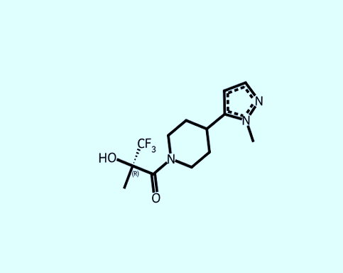 Cn1nccc1C1CCN(C(=O)[C@@](C)(O)C(F)(F)F)CC1